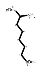 CCCCCCCCCCCCCCCC(N)CCCCCCCCCC